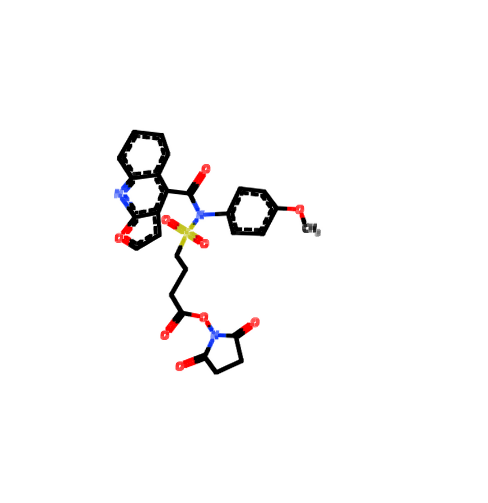 COc1ccc(N(C(=O)c2c3ccccc3nc3occc23)S(=O)(=O)CCCC(=O)ON2C(=O)CCC2=O)cc1